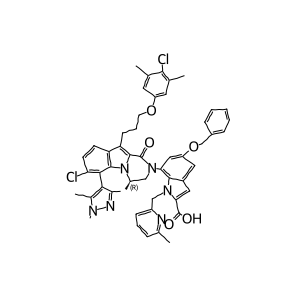 Cc1cccc(Cn2c(C(=O)O)cc3cc(OCc4ccccc4)cc(N4C[C@@H](C)n5c(c(CCCOc6cc(C)c(Cl)c(C)c6)c6ccc(Cl)c(-c7c(C)nn(C)c7C)c65)C4=O)c32)n1